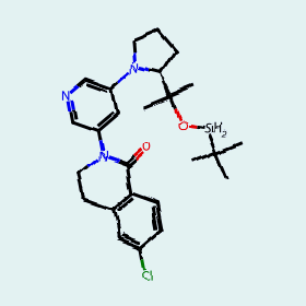 CC(C)(C)[SiH2]OC(C)(C)[C@@H]1CCCN1c1cncc(N2CCc3cc(Cl)ccc3C2=O)c1